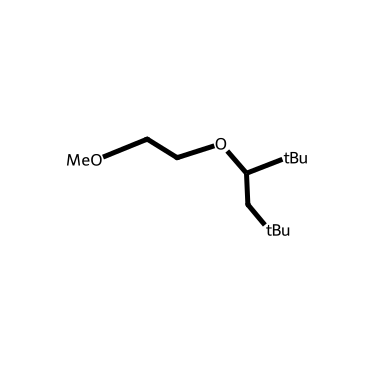 COCCOC(CC(C)(C)C)C(C)(C)C